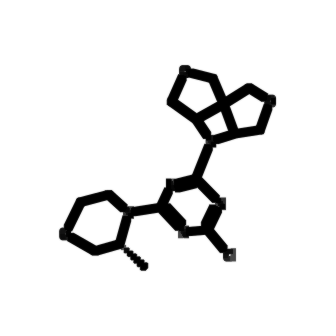 C[C@@H]1COCCN1c1nc(Cl)nc(N2C3COCC34COCC24)n1